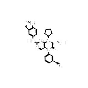 N#Cc1cccc(N2C(=O)[C@@H](CO)N(C3CCCC3)c3nc(Nc4ccc5[nH]ncc5c4)ncc32)c1